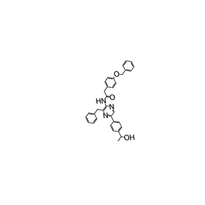 CC(O)c1ccc(-c2cnc(NC(=O)Cc3ccc(OCc4ccccc4)cc3)c(Cc3ccccc3)n2)cc1